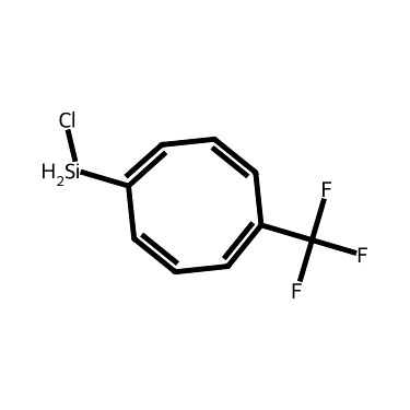 FC(F)(F)C1=CC=CC([SiH2]Cl)=CC=C1